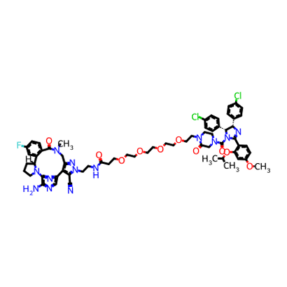 COc1ccc(C2=N[C@@H](c3ccc(Cl)cc3)[C@@H](c3ccc(Cl)cc3)N2C(=O)N2CCN(CCOCCOCCOCCOCCC(=O)NCCn3nc4c(c3C#N)-c3cnc(N)c(n3)N3CCC[C@@H]3c3cc(F)ccc3C(=O)N(C)C4)C(=O)C2)c(OC(C)C)c1